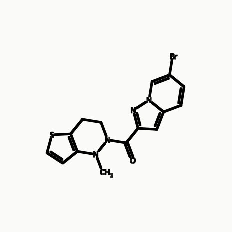 CN1c2ccsc2CCN1C(=O)c1cc2ccc(Br)cn2n1